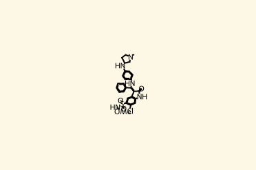 CONS(=O)(=O)c1cc2c(cc1Cl)NC(=O)/C2=C(\Nc1ccc(N[C@@H]2CCN(C)C2)cc1)c1ccccc1